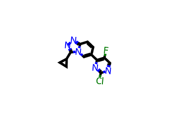 Fc1cnc(Cl)nc1-c1ccc2nnc(C3CC3)n2c1